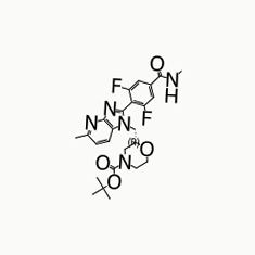 CNC(=O)c1cc(F)c(-c2nc3nc(C)ccc3n2C[C@H]2CN(C(=O)OC(C)(C)C)CCO2)c(F)c1